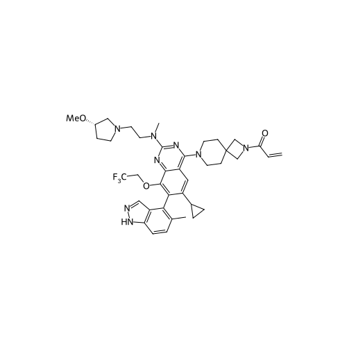 C=CC(=O)N1CC2(CCN(c3nc(N(C)CCN4CC[C@H](OC)C4)nc4c(OCC(F)(F)F)c(-c5c(C)ccc6[nH]ncc56)c(C5CC5)cc34)CC2)C1